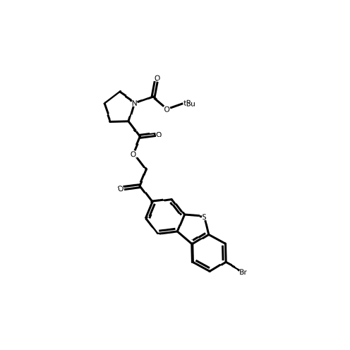 CC(C)(C)OC(=O)N1CCCC1C(=O)OCC(=O)c1ccc2c(c1)sc1cc(Br)ccc12